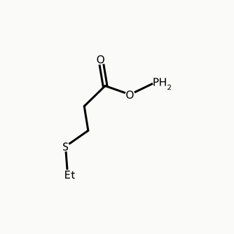 CCSCCC(=O)OP